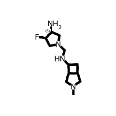 CN1CC2CC(NCN3CC(F)[C@@H](N)C3)C2C1